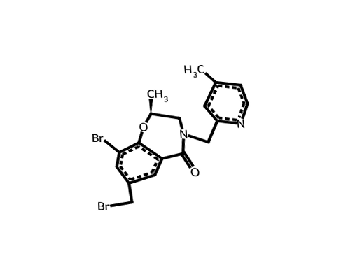 Cc1ccnc(CN2C[C@H](C)Oc3c(Br)cc(CBr)cc3C2=O)c1